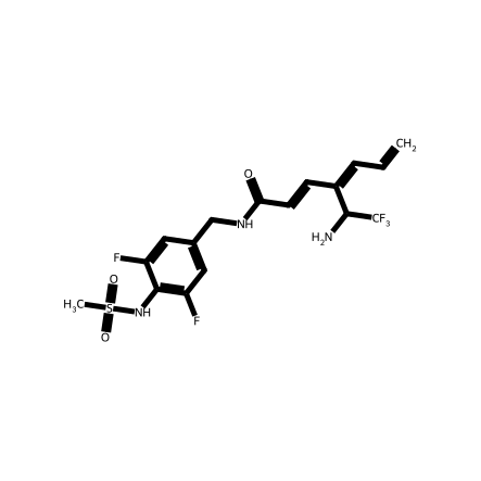 C=C/C=C(/C=C/C(=O)NCc1cc(F)c(NS(C)(=O)=O)c(F)c1)C(N)C(F)(F)F